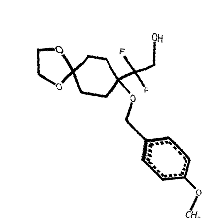 COc1ccc(COC2(C(F)(F)CO)CCC3(CC2)OCCO3)cc1